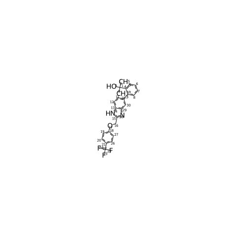 CC(C)(O)c1ccccc1-c1ccc2[nH]c(COc3ccc(C(F)(F)F)cc3)nc2c1